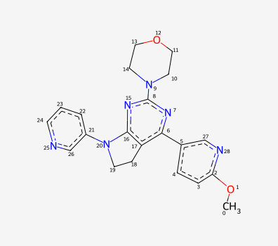 COc1ccc(-c2nc(N3CCOCC3)nc3c2CCN3c2cccnc2)cn1